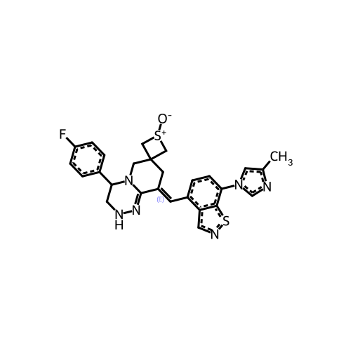 Cc1cn(-c2ccc(/C=C3\CC4(CN5C3=NNCC5c3ccc(F)cc3)C[S+]([O-])C4)c3cnsc23)cn1